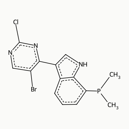 CP(C)c1cccc2c(-c3nc(Cl)ncc3Br)c[nH]c12